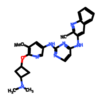 COc1cc(Nc2nccc(Nc3cc4ccccc4nc3C#N)n2)cnc1OC1CC(N(C)C)C1